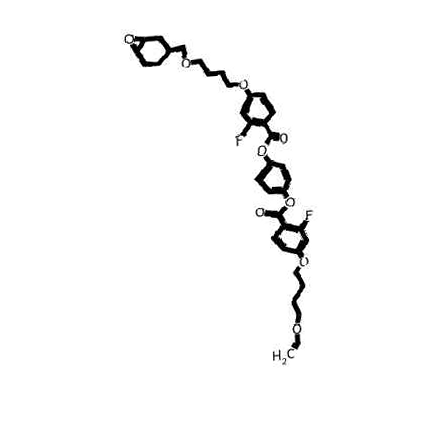 C=COCCCCOc1ccc(C(=O)Oc2ccc(OC(=O)c3ccc(OCCCCOCC4CCC5OC5C4)cc3F)cc2)c(F)c1